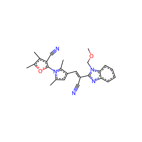 COCn1c(C(C#N)=Cc2cc(C)n(-c3oc(C)c(C)c3C#N)c2C)nc2ccccc21